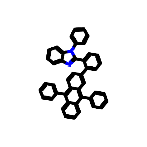 c1ccc(-c2c3ccccc3c(-c3ccccc3)c3cc(-c4ccccc4-c4nc5ccccc5n4-c4ccccc4)ccc23)cc1